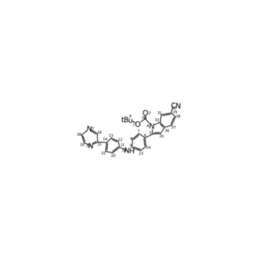 CC(C)(C)OC(=O)n1c(-c2ccc(Nc3ccc(-c4cnccn4)cc3)cc2)cc2ccc(C#N)cc21